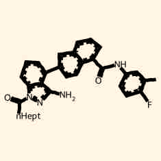 CCCCCCCC(=O)n1nc(N)c2c(-c3ccc4c(C(=O)Nc5ccc(F)c(C)c5)cccc4c3)cccc21